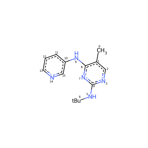 Cc1cnc(NC(C)(C)C)nc1Nc1cccnc1